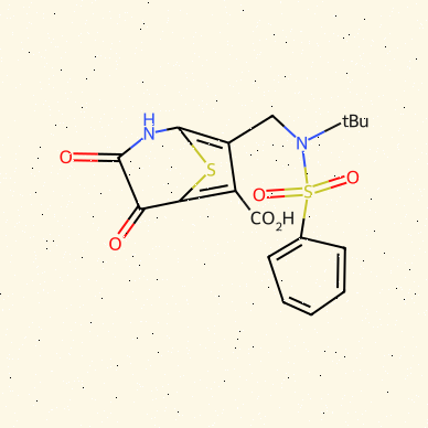 CC(C)(C)N(Cc1c(C(=O)O)c2sc1[nH]c(=O)c2=O)S(=O)(=O)c1ccccc1